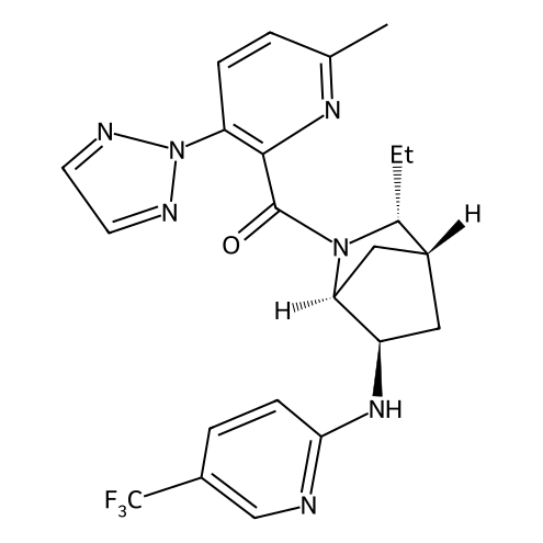 CC[C@@H]1[C@@H]2C[C@@H](Nc3ccc(C(F)(F)F)cn3)[C@H](C2)N1C(=O)c1nc(C)ccc1-n1nccn1